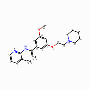 C=C(Nc1ncccc1C)c1cc(OCCN2CCCCC2)cc(OC(C)C)c1